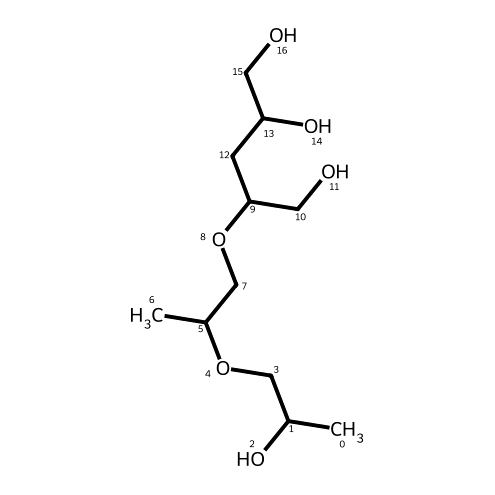 CC(O)COC(C)COC(CO)CC(O)CO